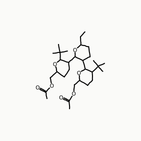 CCC1CCC(C2OC(COC(C)=O)CCC2C(C)(C)C)C(C2CCC(COC(C)=O)OC2C(C)(C)C)O1